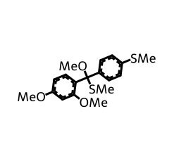 COc1ccc(C(OC)(SC)c2ccc(SC)cc2)c(OC)c1